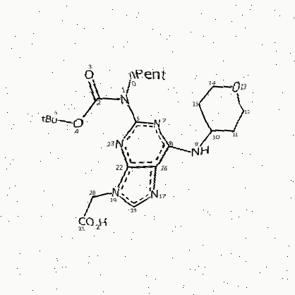 CCCCCN(C(=O)OC(C)(C)C)c1nc(NC2CCOCC2)c2ncn(CC(=O)O)c2n1